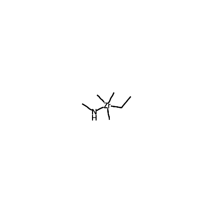 C[CH2][Zr]([CH3])([CH3])([CH3])[NH]C